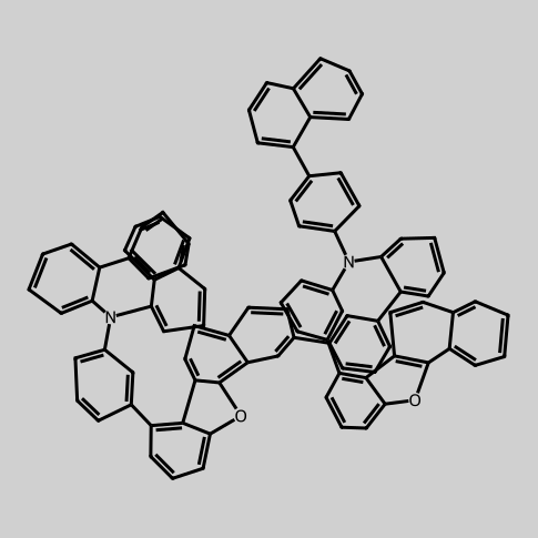 c1ccc(-c2ccccc2N(c2cccc(-c3cccc4oc5c6cc(-c7cccc(-c8ccccc8N(c8ccc(-c9cccc%10ccccc9%10)cc8)c8cccc(-c9cccc%10oc%11c%12ccccc%12ccc%11c9%10)c8)c7)ccc6ccc5c34)c2)c2cccc3ccccc23)cc1